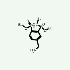 CCOP(=O)(OCC)c1cc(CN)ccc1P(=O)(O)OC(C)CC